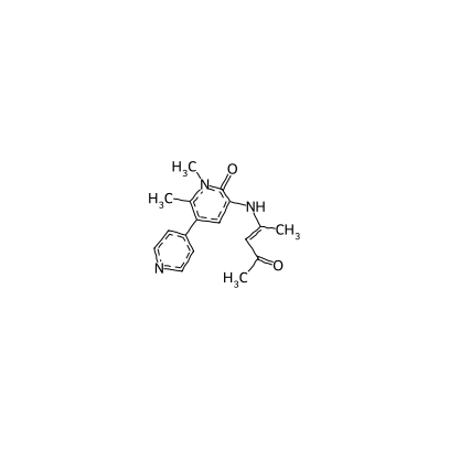 CC(=O)C=C(C)Nc1cc(-c2ccncc2)c(C)n(C)c1=O